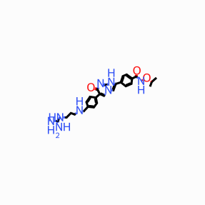 CC(C)ONC(=O)c1ccc(-c2cn3cc(-c4ccc(CNCCCNC(=N)N)cc4)c(=O)nc3[nH]2)cc1